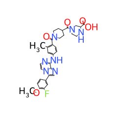 COc1ccc(-c2cnc3c(Nc4ccc(C(=O)N5CCC(C(=O)N6CCNC(C(=O)O)C6)CC5)c(C)c4)nccn23)cc1F